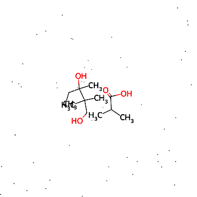 CC(C)C(=O)O.CCC(C)(O)C(C)(C)CO